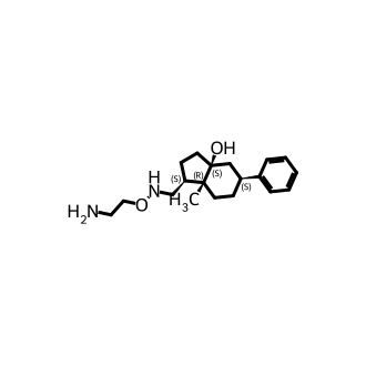 C[C@]12CC[C@H](c3ccccc3)C[C@@]1(O)CC[C@@H]2CNOCCN